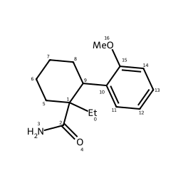 CCC1(C(N)=O)CCCCC1c1ccccc1OC